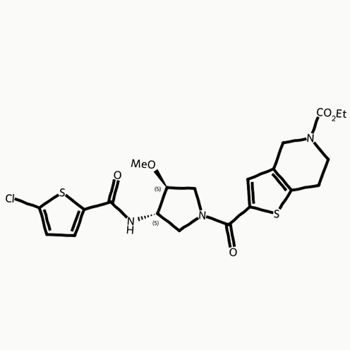 CCOC(=O)N1CCc2sc(C(=O)N3C[C@H](NC(=O)c4ccc(Cl)s4)[C@@H](OC)C3)cc2C1